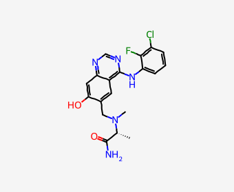 C[C@H](C(N)=O)N(C)Cc1cc2c(Nc3cccc(Cl)c3F)ncnc2cc1O